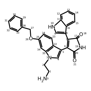 NCCn1cc(C2=C(c3c[nH]c4ccccc34)C(=O)NC2=O)c2ccc(OCc3ccccc3)cc21